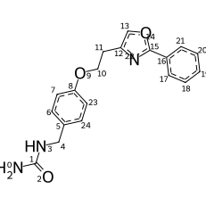 NC(=O)NCc1ccc(OCCc2coc(-c3ccccc3)n2)cc1